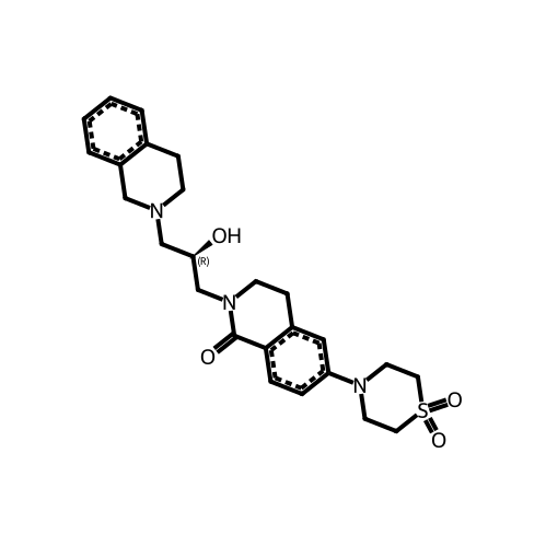 O=C1c2ccc(N3CCS(=O)(=O)CC3)cc2CCN1C[C@H](O)CN1CCc2ccccc2C1